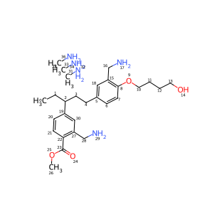 CCC(CCc1ccc(OCCCCO)c(CN)c1)c1ccc(C(=O)OC)c(CN)c1.CN.CN.CN